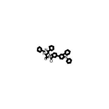 O=c1c2cc(-c3ccc4c(c3)c3ccccc3n4-c3ccccc3)ccc2n2c3c(-c4ccccc4)nc(-c4ccccc4)nc3c(=O)n12